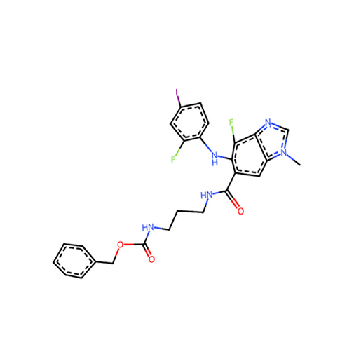 Cn1cnc2c(F)c(Nc3ccc(I)cc3F)c(C(=O)NCCCNC(=O)OCc3ccccc3)cc21